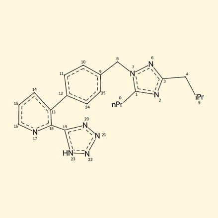 CCCc1nc(CC(C)C)nn1Cc1ccc(-c2cccnc2-c2nnn[nH]2)cc1